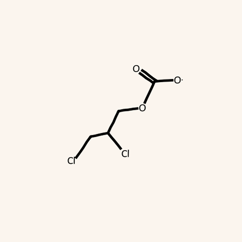 [O]C(=O)OCC(Cl)CCl